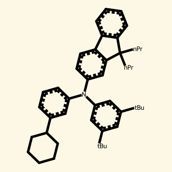 CCCC1(CCC)c2ccccc2-c2ccc(N(c3cccc(C4CCCCC4)c3)c3cc(C(C)(C)C)cc(C(C)(C)C)c3)cc21